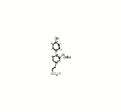 CCCCOc1cc(/C=C/C(=O)OCC)ccc1-c1ccc(CCC)cc1